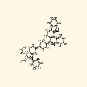 C=Cc1c(/C=C\C)c2ccc(-c3ccc(-c4nc5ccccc5c5c4ccc4c6ccccc6oc45)cc3)cc2n1-c1ccccc1